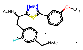 CNCc1ccc(CC(NC(C)=O)c2nnc(-c3cccc(OC(F)(F)F)c3)s2)c(F)c1